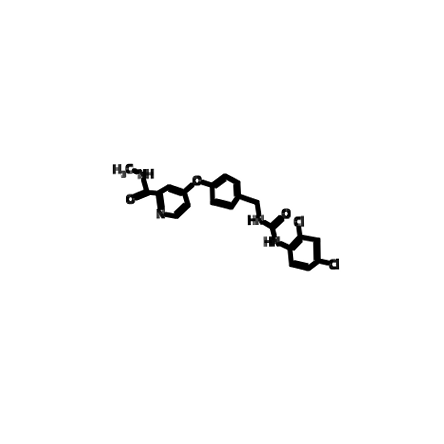 CNC(=O)c1cc(Oc2ccc(CNC(=O)Nc3ccc(Cl)cc3Cl)cc2)ccn1